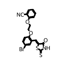 N#Cc1ccccc1OCCOc1ccc(Br)cc1/C=C1\SC(=S)NC1=O